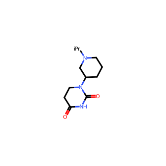 CC(C)N1CCCC(N2CCC(=O)NC2=O)C1